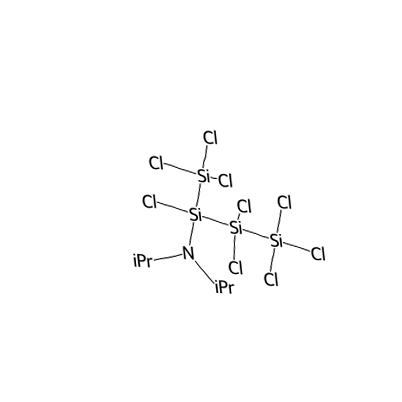 CC(C)N(C(C)C)[Si](Cl)([Si](Cl)(Cl)Cl)[Si](Cl)(Cl)[Si](Cl)(Cl)Cl